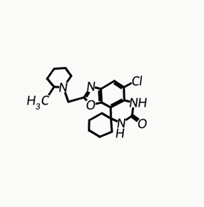 CC1CCCCN1Cc1nc2cc(Cl)c3c(c2o1)C1(CCCCC1)NC(=O)N3